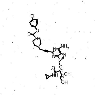 Nc1nc(C#CCC2CCN(C(=O)Oc3ccc(Cl)cc3)CC2)nc2c1ncn2CO[C@H](C(=O)NC1CC1)[C@H](O)CO